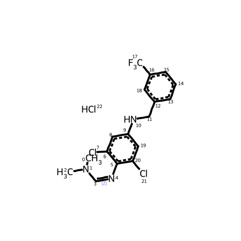 CN(C)/C=N\c1c(Cl)cc(NCc2cccc(C(F)(F)F)c2)cc1Cl.Cl